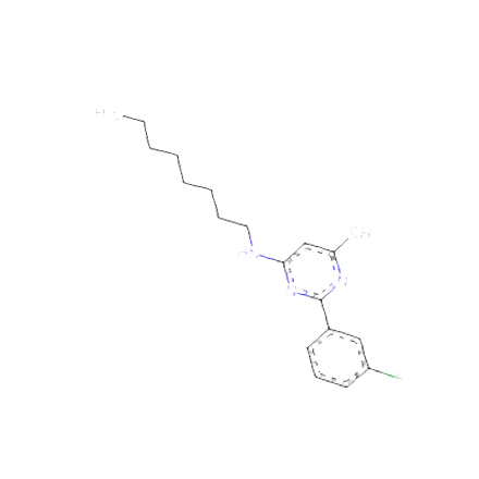 CCCCCCCCNc1cc(C)nc(-c2cccc(F)c2)n1